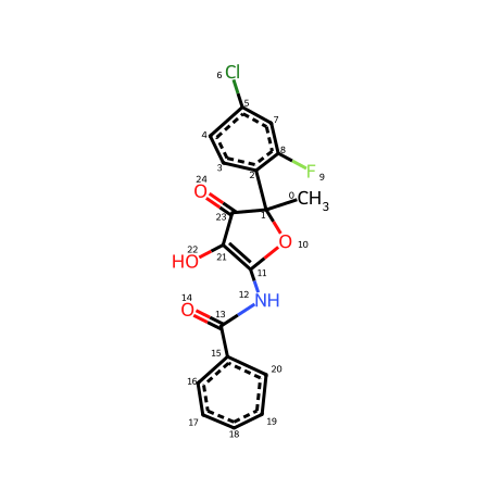 CC1(c2ccc(Cl)cc2F)OC(NC(=O)c2ccccc2)=C(O)C1=O